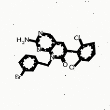 Nc1ncc2cc(-c3c(Cl)cccc3Cl)c(=O)n(Cc3cccc(Br)c3)c2n1